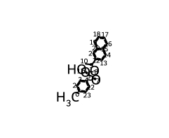 Cc1ccc(S(=O)(=O)OC(CO)c2ccc3ccccc3c2)cc1